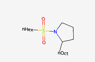 CCCCCCCCC1CCCN1S(=O)(=O)CCCCCC